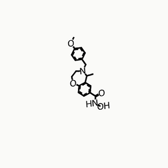 COc1ccc(CN2CCOc3ccc(C(=O)NO)cc3C2C)cc1